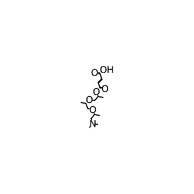 CC(COC(C)CN(C)C)OCC(C)OC(=O)C=CC(=O)O